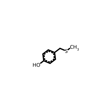 CSCc1ccc(O)cc1